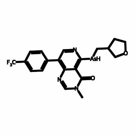 Cn1cnc2c(-c3ccc(C(F)(F)F)cc3)cnc([AsH]CC3CCOC3)c2c1=O